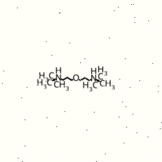 CC(C)(C)NCCCOCCCNC(C)(C)C